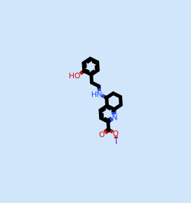 O=C(OI)c1ccc2c(n1)CCCC2NCCc1ccccc1O